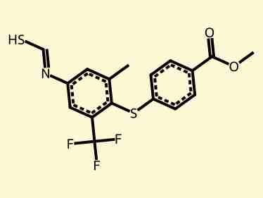 COC(=O)c1ccc(Sc2c(C)cc(N=CS)cc2C(F)(F)F)cc1